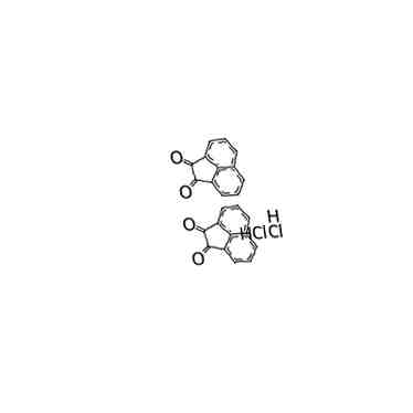 Cl.Cl.O=C1C(=O)c2cccc3cccc1c23.O=C1C(=O)c2cccc3cccc1c23